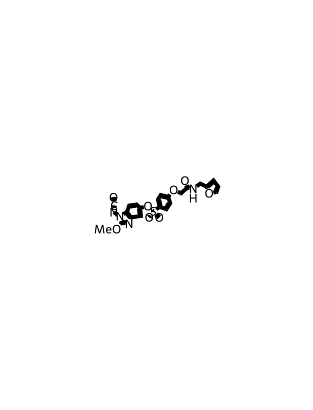 COc1nc2cc(OS(=O)(=O)c3ccc(OCC(=O)NCc4ccco4)cc3)ccc2n1N=C=O